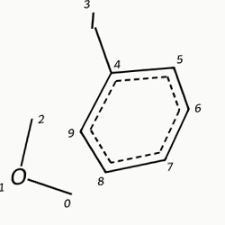 COC.Ic1ccccc1